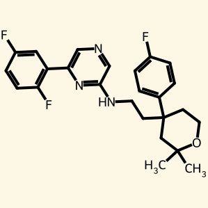 CC1(C)CC(CCNc2cncc(-c3cc(F)ccc3F)n2)(c2ccc(F)cc2)CCO1